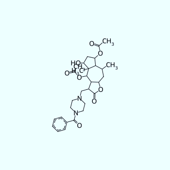 CC(=O)OC1CC(O)C2(C)C(OC(C)=O)C3C(CC(C)C12)OC(=O)C3CN1CCN(C(=O)c2ccccc2)CC1